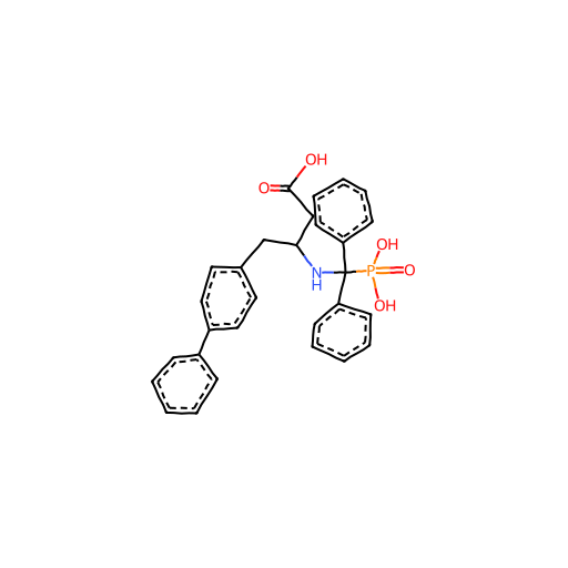 O=C(O)CC(Cc1ccc(-c2ccccc2)cc1)NC(c1ccccc1)(c1ccccc1)P(=O)(O)O